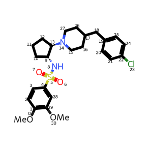 COc1ccc(S(=O)(=O)N[C@@H]2CCC[C@H]2N2CCC(Cc3ccc(Cl)cc3)CC2)cc1OC